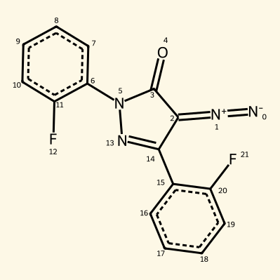 [N-]=[N+]=C1C(=O)N(c2ccccc2F)N=C1c1ccccc1F